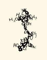 CC(=O)N1CCN(c2nc(NCCC(=O)N(C)CCOCCOCCOCCC(C(=O)N3C[C@H](O)C[C@H]3C(=O)N[C@@H](C)c3ccc(-c4scnc4C)cc3)c3cc(C)no3)nc3c(F)c(-c4cc(O)cc5ccccc45)c(Cl)cc23)CC1